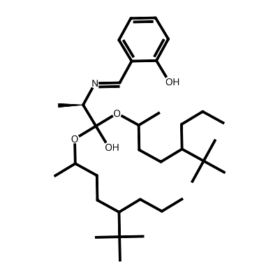 CCCC(CCC(C)OC(O)(OC(C)CCC(CCC)C(C)(C)C)[C@@H](C)N=Cc1ccccc1O)C(C)(C)C